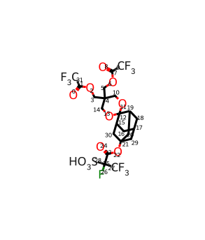 O=C(OCC1(COC(=O)C(F)(F)F)COC2(OC1)C1CC3CC2CC(OC(=O)C(F)(C(F)(F)F)S(=O)(=O)O)(C3)C1)C(F)(F)F